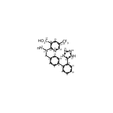 CCCN(Cc1ccc(-c2ccccc2-c2nnn[nH]2)cc1)c1ncc(C(F)(F)F)cc1C(=O)O